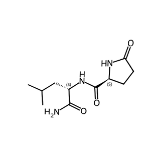 CC(C)C[C@H](NC(=O)[C@@H]1CCC(=O)N1)C(N)=O